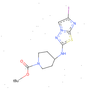 CC(C)(C)OC(=O)N1CCC(Nc2nn3cc(I)nc3s2)CC1